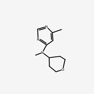 Cc1cc(N(C)C2CCOCC2)ncn1